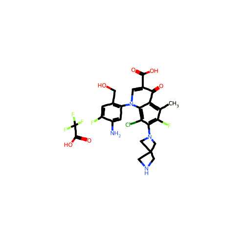 Cc1c(F)c(N2CC3(CNC3)C2)c(Cl)c2c1c(=O)c(C(=O)O)cn2-c1cc(N)c(F)cc1CO.O=C(O)C(F)(F)F